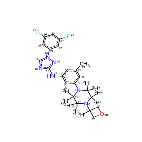 [2H]C1(N2C([2H])([2H])C([2H])([2H])N(c3cc(C)cc(Nc4ncn(-c5cc(F)cc(F)c5)n4)c3)C([2H])([2H])C2([2H])[2H])COC1